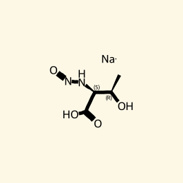 C[C@@H](O)[C@H](NN=O)C(=O)O.[Na]